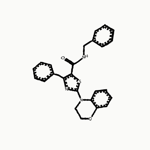 O=C(NCc1ccccc1)c1sc(N2CCOc3ccccc32)nc1-c1ccccc1